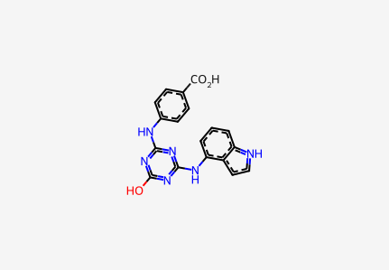 O=C(O)c1ccc(Nc2nc(O)nc(Nc3cccc4[nH]ccc34)n2)cc1